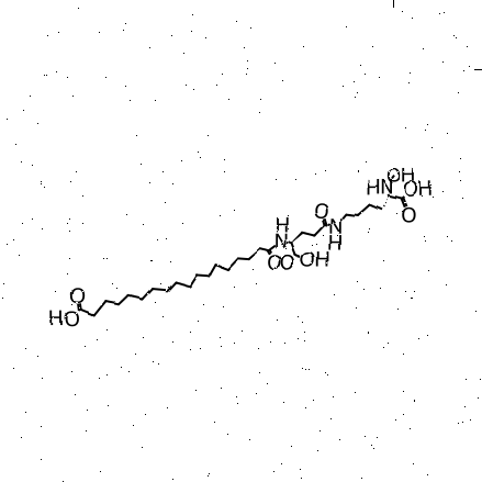 O=C(O)CCCCCCCCCCCCCCCCC(=O)N[C@@H](CCC(=O)NCCCC[C@H](NO)C(=O)O)C(=O)O